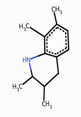 Cc1ccc2c(c1C)NC(C)C(C)C2